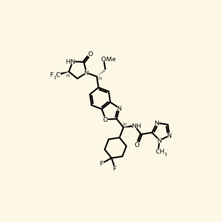 COC[C@H](c1ccc2oc([C@@H](NC(=O)c3ncnn3C)C3CCC(F)(F)CC3)nc2c1)N1C[C@@H](C(F)(F)F)NC1=O